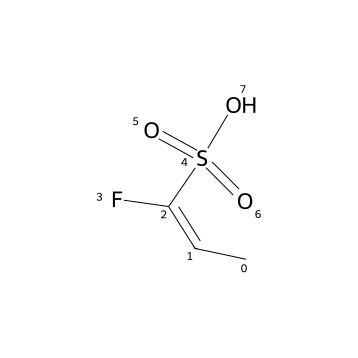 CC=C(F)S(=O)(=O)O